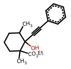 CCOC(=O)C1(C)CCCC(C)C1(O)C#Cc1ccccc1